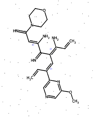 C=C/C(N)=C(\C=C(/C=C)c1cncc(OC)n1)C(=N)/C(N)=C/C(=N)N1CCOCC1